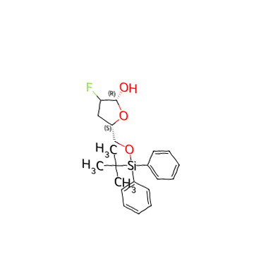 CC(C)(C)[Si](OC[C@@H]1CC(F)[C@H](O)O1)(c1ccccc1)c1ccccc1